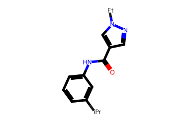 CCn1cc(C(=O)Nc2cccc(C(C)C)c2)cn1